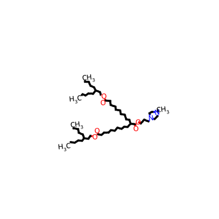 CCCCCC(CCCCC)CCOC(=O)CCCCCCCCCC(CCCCCCCCCC(=O)OCCC(CCCCC)CCCCC)C(=O)OCCCN1CCN(C)CC1